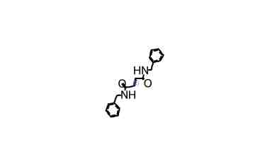 O=C(/C=C/C(=O)NCc1ccccc1)NCc1ccccc1